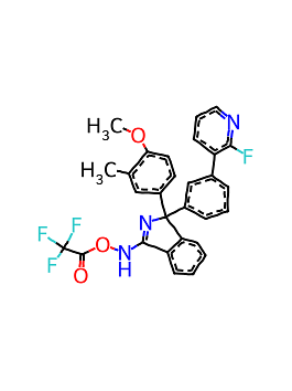 COc1ccc(C2(c3cccc(-c4cccnc4F)c3)N=C(NOC(=O)C(F)(F)F)c3ccccc32)cc1C